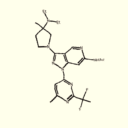 CCN(CC)C1(C)CCN(c2nn(-c3cc(C)nc(C(C)(F)F)n3)c3cc(NC(C)=O)ncc23)C1